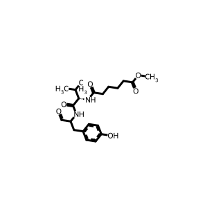 COC(=O)CCCCC(=O)N[C@H](C(=O)NC(C=O)Cc1ccc(O)cc1)C(C)C